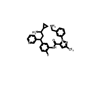 NCc1cccc(-n2nc(C(F)(F)F)cc2C(=O)Nc2cc(C(CC(N)C3CC3)c3cccnc3)ccc2F)c1